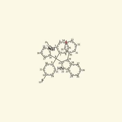 COc1ccccc1C(c1ccc(F)cc1)(c1ccc[nH]1)c1[nH]c2ccccc2c1-c1ccccc1